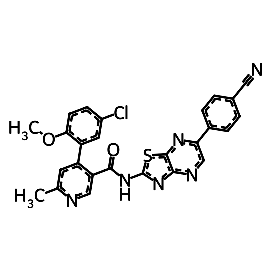 COc1ccc(Cl)cc1-c1cc(C)ncc1C(=O)Nc1nc2ncc(-c3ccc(C#N)cc3)nc2s1